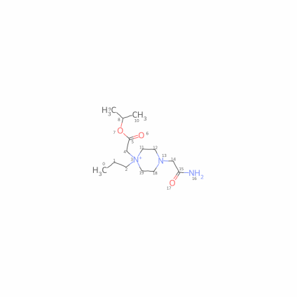 CCC[N+]1(CC(=O)OC(C)C)CCN(CC(N)=O)CC1